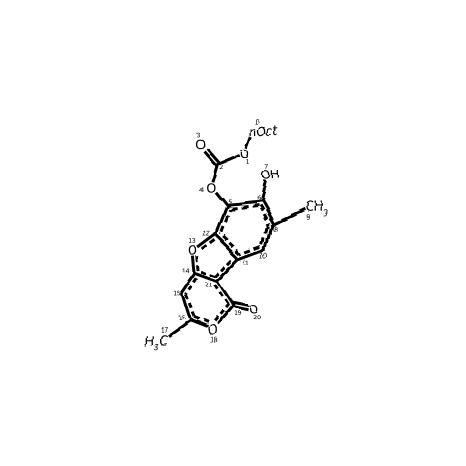 CCCCCCCCOC(=O)Oc1c(O)c(C)cc2c1oc1cc(C)oc(=O)c12